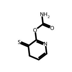 NC(=O)OC1=NC=CCC1=S